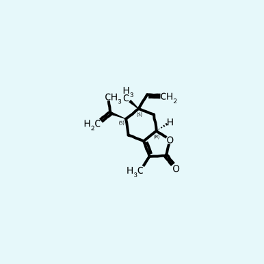 C=C[C@]1(C)C[C@H]2OC(=O)C(C)=C2C[C@H]1C(=C)C